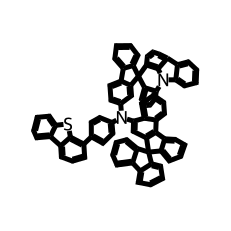 c1ccc2c(c1)-c1ccccc1C21c2ccccc2-c2c1cc(N(c1ccc(-c3cccc4c3sc3ccccc34)cc1)c1ccc3c(c1)C1(c4ccccc4-3)c3ccccc3-n3c4ccccc4c4cccc1c43)c1ccccc21